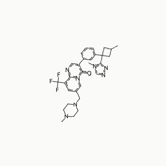 CC1CC(c2cccc(-c3cnc4c(C(F)(F)F)cc(CN5CCN(C)CC5)cn4c3=O)c2)(c2nncn2C)C1